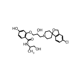 CC(CO)NC(=O)c1ccc(O)cc1OC[C@H](O)CN1CCC2(CC1)OCc1cc(Cl)ccc12